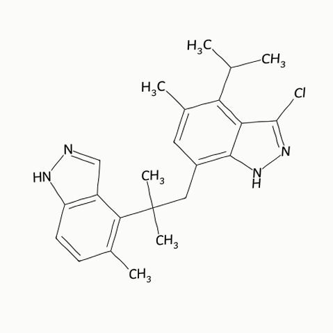 Cc1ccc2[nH]ncc2c1C(C)(C)Cc1cc(C)c(C(C)C)c2c(Cl)n[nH]c12